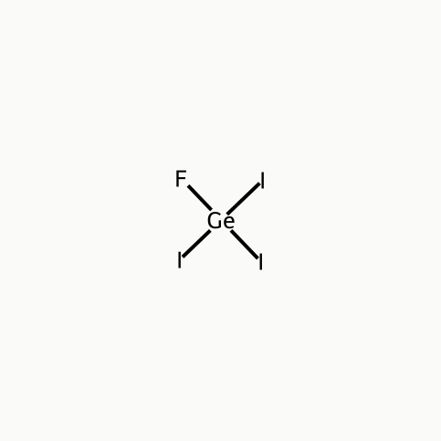 [F][Ge]([I])([I])[I]